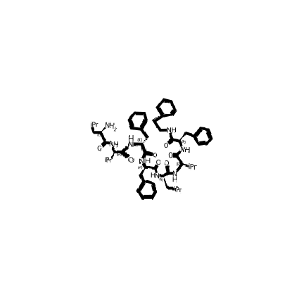 CC(C)C[C@@H](N)C(=O)N[C@@H](C(=O)N[C@H](Cc1ccccc1)C(=O)N[C@H](Cc1ccccc1)C(=O)N[C@H](CC(C)C)C(=O)N[C@@H](C(=O)N[C@H](Cc1ccccc1)C(=O)NCCc1ccccc1)C(C)C)C(C)C